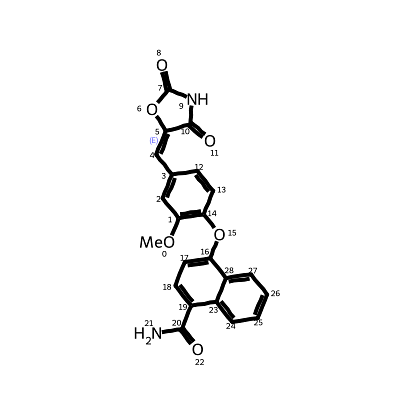 COc1cc(/C=C2/OC(=O)NC2=O)ccc1Oc1ccc(C(N)=O)c2ccccc12